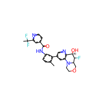 Cc1ccc(NC(=O)c2ccnc(C(C)(F)F)c2)cc1-c1cnc2c(c1)N1CCOCC1C(F)[C@@H]2O